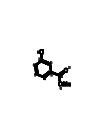 [CH2]OC(=O)c1cccc(Cl)c1